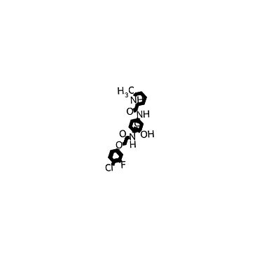 CC1CCCC(C(=O)NC23CCC(NC(=O)COc4ccc(Cl)c(F)c4)(CC2)C(O)C3)N1